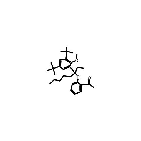 CCCCCC(CC)(Pc1ccccc1C(C)=O)c1cc(C(C)(C)C)cc(C(C)(C)C)c1OC